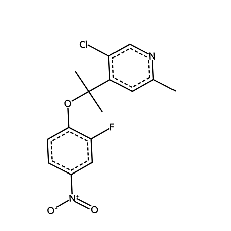 Cc1cc(C(C)(C)Oc2ccc([N+](=O)[O-])cc2F)c(Cl)cn1